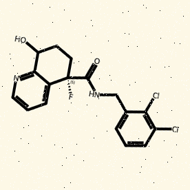 O=C(NCc1cccc(Cl)c1Cl)[C@]1(F)CCC(O)c2ncccc21